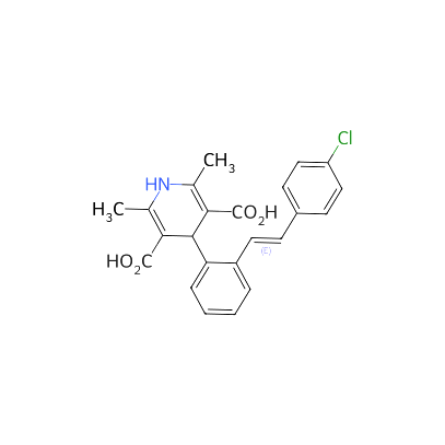 CC1=C(C(=O)O)C(c2ccccc2/C=C/c2ccc(Cl)cc2)C(C(=O)O)=C(C)N1